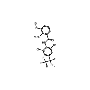 CCNc1cccc(C(=O)Nc2c(Cl)cc(C(F)(C(F)(F)F)C(F)(F)Br)cc2Br)c1OC